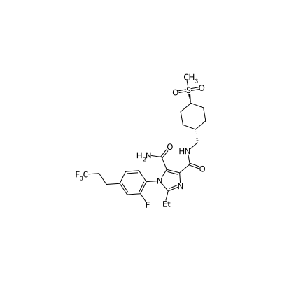 CCc1nc(C(=O)NC[C@H]2CC[C@H](S(C)(=O)=O)CC2)c(C(N)=O)n1-c1ccc(CCC(F)(F)F)cc1F